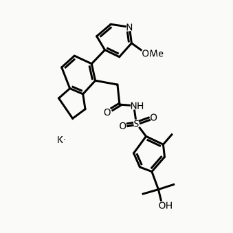 COc1cc(-c2ccc3c(c2CC(=O)NS(=O)(=O)c2ccc(C(C)(C)O)cc2C)CCC3)ccn1.[K]